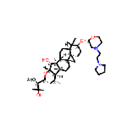 CC(=O)O[C@@H]([C@H]1C[C@@H](C)[C@H]2[C@H](O1)[C@H](O)[C@@]1(C)[C@@H]3CC[C@H]4C(C)(C)[C@@H](O[C@H]5CN(CCN6CCCC6)CCO5)CC[C@@]45C[C@@]35CC[C@]21C)C(C)(C)O